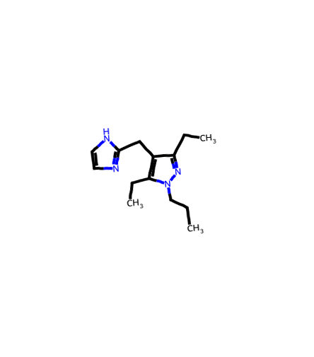 CCCn1nc(CC)c(Cc2ncc[nH]2)c1CC